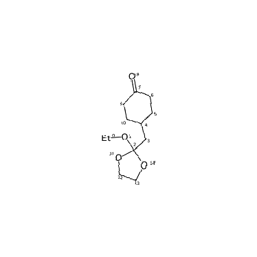 CCOC1(CC2CCC(=O)CC2)OCCO1